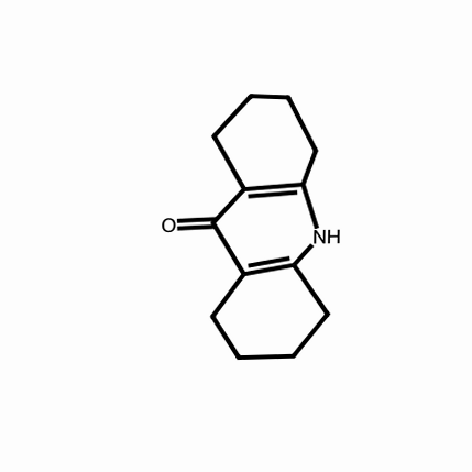 O=c1c2c([nH]c3c1CCCC3)CCCC2